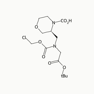 CC(C)(C)OC(=O)CN(C[C@H]1COCCN1C(=O)O)C(=O)OCCl